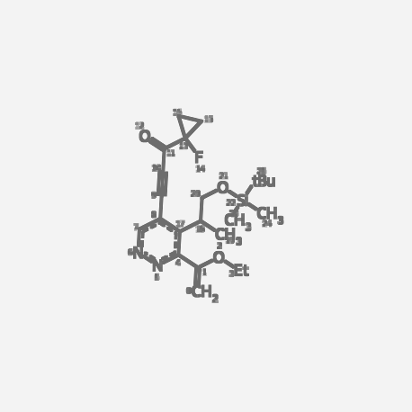 C=C(OCC)c1nncc(C#CC(=O)C2(F)CC2)c1C(C)CO[Si](C)(C)C(C)(C)C